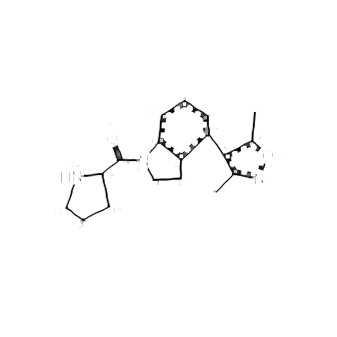 Cc1noc(C)c1-c1cccc2c1CCN2C(=O)C1CCCN1